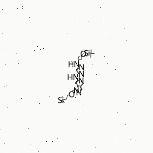 CC(C)(C)[Si](C)(C)OC1CC(Nc2cc(Nc3cc4c(cn3)cnn4COCC[Si](C)(C)C)ncn2)C1